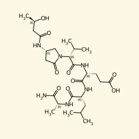 CC(C)C[C@@H](NC(=O)[C@@H](CCC(=O)O)NC(=O)[C@@H](C(C)C)N1C[C@@H](NC(=O)C[C@@H](C)O)CC1=O)C(=O)N[C@H](C)C(N)=O